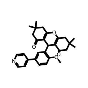 COc1ccc(-c2ccncc2)cc1C1C2=C(CC(C)(C)CC2=O)OC2=C1C(=O)CC(C)(C)C2